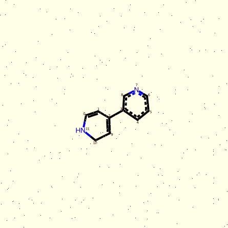 C1=CC(c2cccnc2)=CCN1